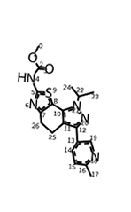 COC(=O)Nc1nc2c(s1)-c1c(c(-c3ccc(C)nc3)nn1C(C)C)CC2